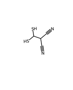 N#CC(C#N)C(S)S